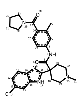 Cc1cc(NC(=O)C2(c3nc4ccc(Cl)cc4[nH]3)CCN(C)CC2)ccc1C(=O)N1CCCC1